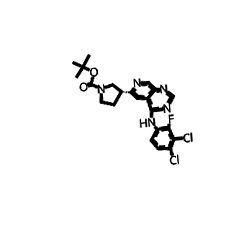 CC(C)(C)OC(=O)N1CC[C@@H](c2cc3c(Nc4ccc(Cl)c(Cl)c4F)ncnc3cn2)C1